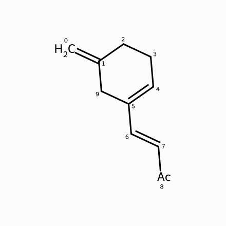 C=C1CCC=C(/C=C/C(C)=O)C1